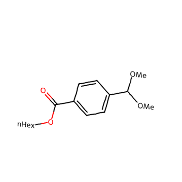 CCCCCCOC(=O)c1ccc(C(OC)OC)cc1